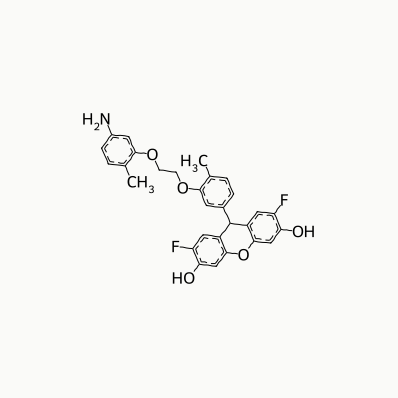 Cc1ccc(N)cc1OCCOc1cc(C2c3cc(F)c(O)cc3Oc3cc(O)c(F)cc32)ccc1C